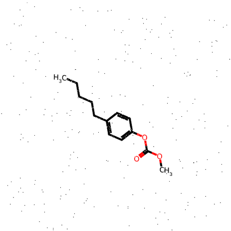 CCCCCc1ccc(OC(=O)OC)cc1